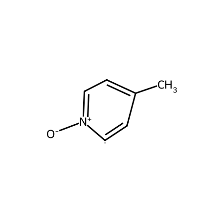 Cc1c[c][n+]([O-])cc1